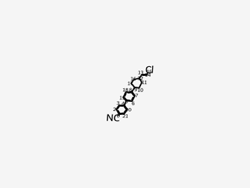 N#Cc1ccc(-c2ccc(C3CCC(/C=C/Cl)CC3)cc2)cc1